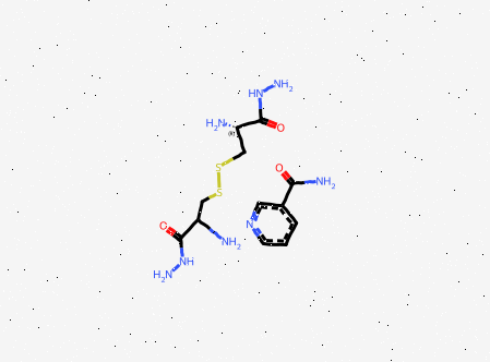 NC(=O)c1cccnc1.NNC(=O)C(N)CSSC[C@H](N)C(=O)NN